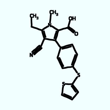 CCc1c(C#N)c(-c2ccc(Sc3cccs3)cc2)c(C(=O)O)n1C